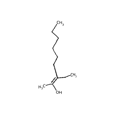 CCCCCC/C(C)=C(\C)O